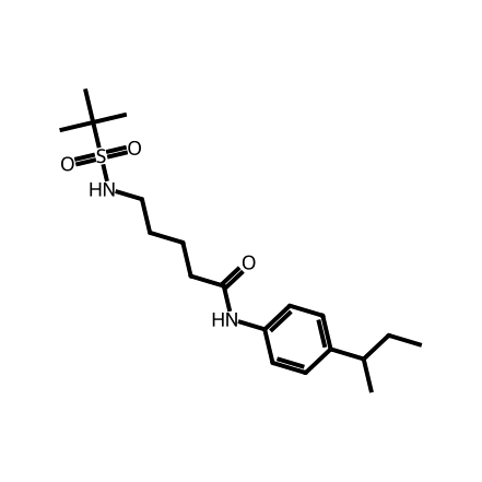 CCC(C)c1ccc(NC(=O)CCCCNS(=O)(=O)C(C)(C)C)cc1